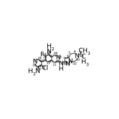 CC(C)N1CCc2cc(Nc3cc4cc(-c5cncc(N)c5Cl)c(F)c(N)c4cn3)nn2CC1